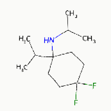 CC(C)NC1(C(C)C)CCC(F)(F)CC1